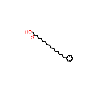 O=C(CO)CCCCCCCCCCCCCCc1ccccc1